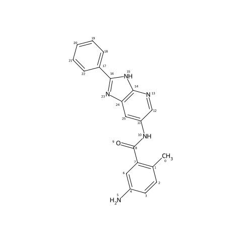 Cc1ccc(N)cc1C(=O)Nc1cnc2[nH]c(-c3ccccc3)nc2c1